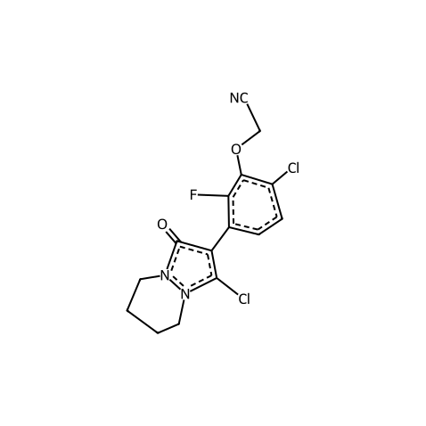 N#CCOc1c(Cl)ccc(-c2c(Cl)n3n(c2=O)CCCC3)c1F